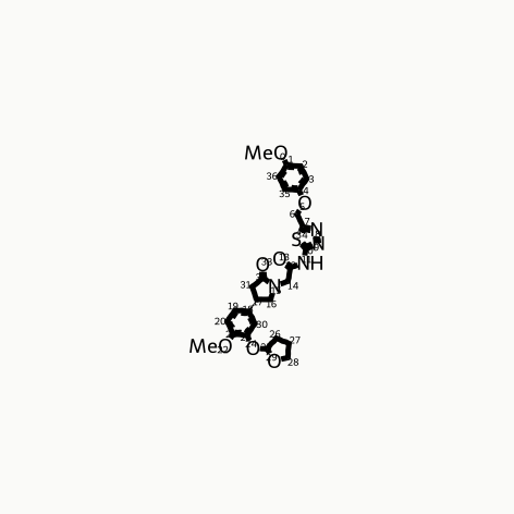 COc1ccc(OCc2nnc(NC(=O)CN3C[C@H](c4ccc(OC)c(OC5CCCO5)c4)CC3=O)s2)cc1